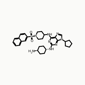 N[C@H]1CC[C@H](Nc2nc(NC3CCN(S(=O)(=O)c4ccc5ccccc5c4)CC3)c3ncn(C4CCCC4)c3n2)CC1